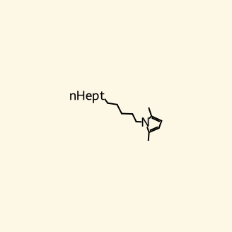 CCCCCCCCCCCCn1c(C)ccc1C